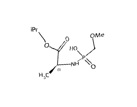 COCP(=O)(O)N[C@@H](C)C(=O)OC(C)C